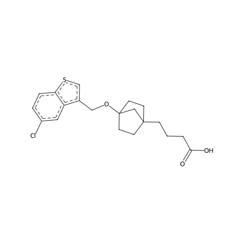 O=C(O)CCCC12CCC(OCc3csc4ccc(Cl)cc34)(CC1)C2